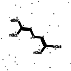 CCCCCCCCCCC(=COC=C(CCCCCCCC)CCCCCCCCCC)CCCCCCCC